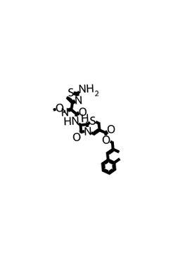 CON=C(C(=O)NC1C(=O)N2C=C(C(=O)OCC(C)=Cc3ccccc3C)CS[C@H]12)c1csc(N)n1